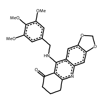 COc1cc(CNc2c3c(nc4cc5c(cc24)OCO5)CCCC3=O)cc(OC)c1OC